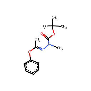 CC(=NN(C)C(=O)OC(C)(C)C)Oc1ccccc1